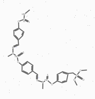 CN[PH](=S)Oc1ccc(/C=N/N(C)[PH](=S)Oc2ccc(/C=N/N(C)[PH](=S)Oc3ccc(CP(=O)(OC)OC)cc3)cc2)cc1